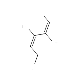 CC/C=C(CCCC)\C(C)=C/CS